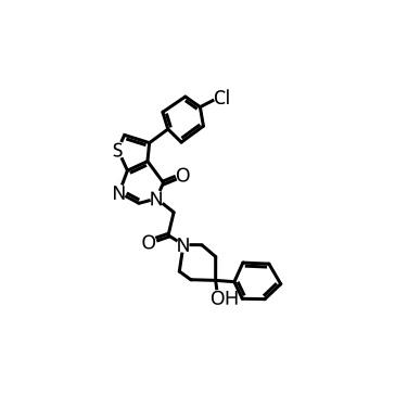 O=C(Cn1cnc2scc(-c3ccc(Cl)cc3)c2c1=O)N1CCC(O)(c2ccccc2)CC1